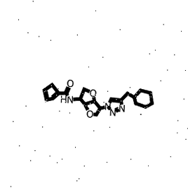 O=C(NC1COC2C1OCC2n1cc(CC2CCCCC2)nn1)C1=CC=CC1